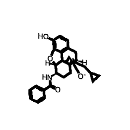 O=C(N[C@@H]1CC[C@@]2(O)[C@H]3Cc4ccc(O)c5c4[C@@]2(CC[N+]3([O-])CC2CC2)[C@H]1O5)c1ccccc1